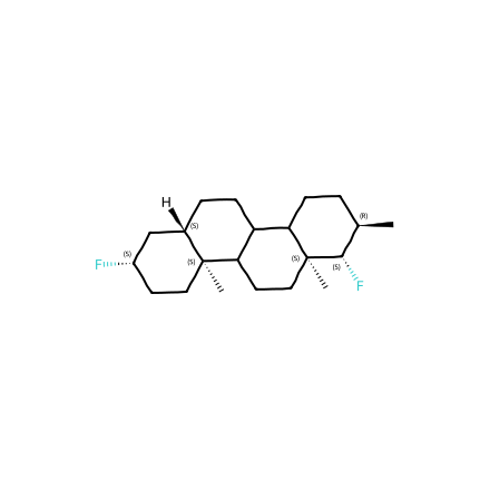 C[C@@H]1CCC2C3CC[C@H]4C[C@@H](F)CC[C@]4(C)C3CC[C@]2(C)[C@H]1F